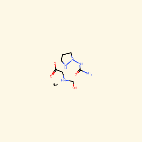 NC(=O)NN1CCCN1.O=C([O-])CNCO.[Na+]